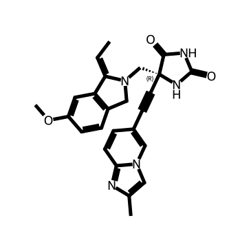 CC=C1c2cc(OC)ccc2CN1C[C@@]1(C#Cc2ccc3nc(C)cn3c2)NC(=O)NC1=O